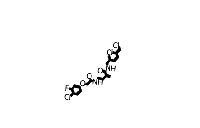 C=C(/C=C\C(Cl)=C\Cl)CNC(=O)C(=C)CCNC(=O)COc1ccc(Cl)c(F)c1